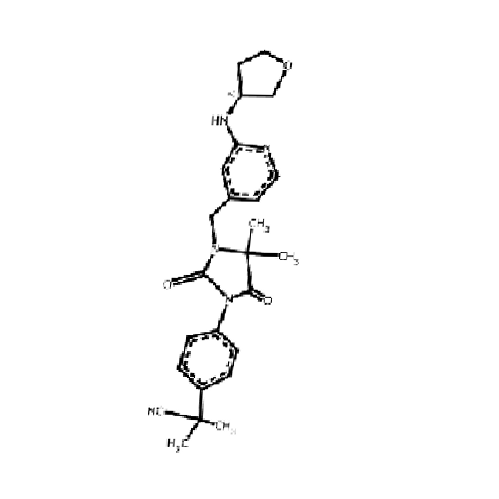 CC(C)(C#N)c1ccc(N2C(=O)N(Cc3ccnc(N[C@H]4CCOC4)c3)C(C)(C)C2=O)cc1